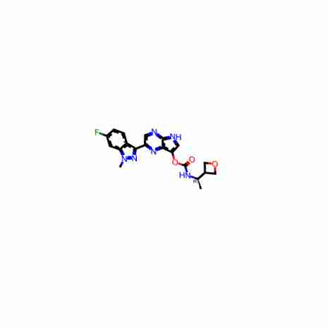 C[C@@H](NC(=O)Oc1c[nH]c2ncc(-c3nn(C)c4cc(F)ccc34)nc12)C1COC1